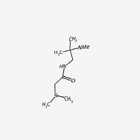 CNC(C)(C)CNC(=O)CN(C)C